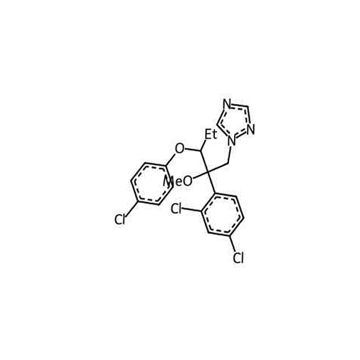 CCC(Oc1ccc(Cl)cc1)C(Cn1cncn1)(OC)c1ccc(Cl)cc1Cl